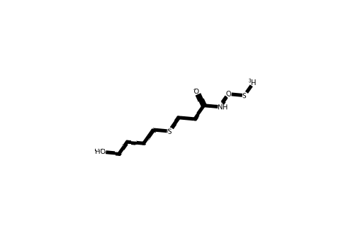 [3H]SONC(=O)CCSCCCCO